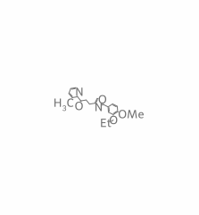 CCOc1cc(-c2nc(CCC(=O)c3ncccc3C)co2)ccc1OC